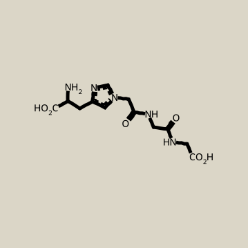 NC(Cc1cn(CC(=O)NCC(=O)NCC(=O)O)cn1)C(=O)O